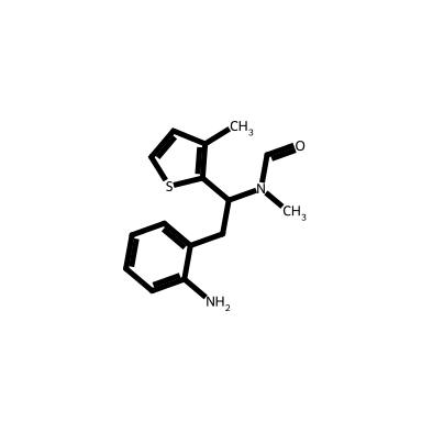 Cc1ccsc1C(Cc1ccccc1N)N(C)C=O